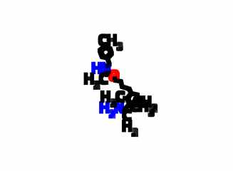 C=CC(CCCCOC(=C)NCc1ccc(C)cc1)/C(C)=C(\C)C(=C)N